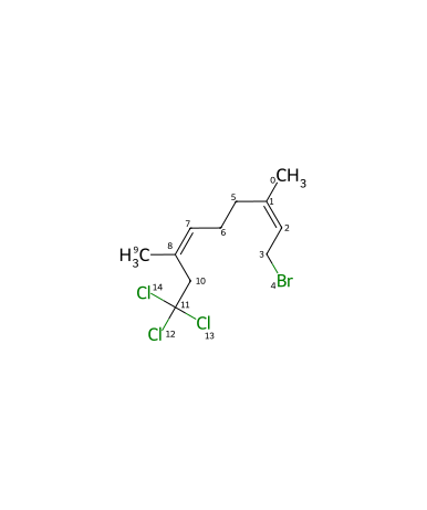 CC(=CCBr)CCC=C(C)CC(Cl)(Cl)Cl